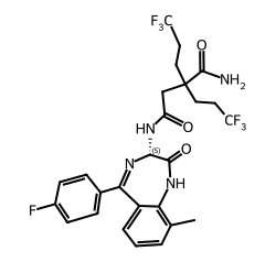 Cc1cccc2c1NC(=O)[C@@H](NC(=O)CC(CCC(F)(F)F)(CCC(F)(F)F)C(N)=O)N=C2c1ccc(F)cc1